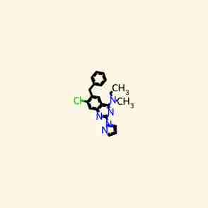 CCN(C)c1nc(-n2cccn2)nc2cc(Cl)c(Cc3ccccc3)cc12